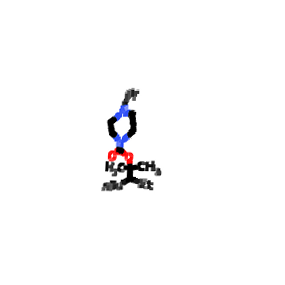 CCCCC(CC)C(C)(C)OC(=O)N1CCN(C(C)C)CC1